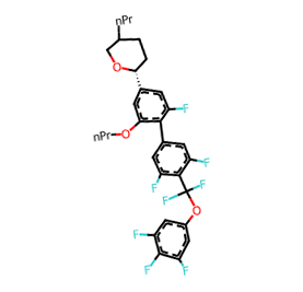 CCCOc1cc([C@H]2CCC(CCC)CO2)cc(F)c1-c1cc(F)c(C(F)(F)Oc2cc(F)c(F)c(F)c2)c(F)c1